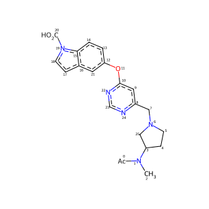 CC(=O)N(C)C1CCN(Cc2cc(Oc3ccc4c(ccn4C(=O)O)c3)ncn2)C1